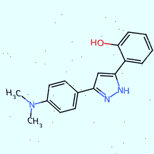 CN(C)c1ccc(-c2cc(-c3ccccc3O)[nH]n2)cc1